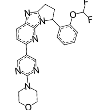 FC(F)Oc1ccccc1C1CCc2nc3ccc(-c4cnc(N5CCOCC5)nc4)nc3n21